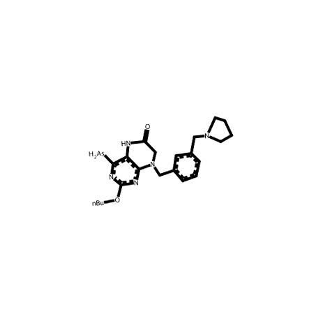 CCCCOc1nc([AsH2])c2c(n1)N(Cc1cccc(CN3CCCC3)c1)CC(=O)N2